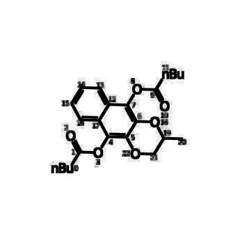 CCCCC(=O)Oc1c2c(c(OC(=O)CCCC)c3ccccc13)OC(C)CO2